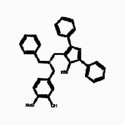 CCCCn1c(-c2ccccc2)nc(-c2ccccc2)c1CN(Cc1ccccc1)Cc1ccc(OC)c(O)c1